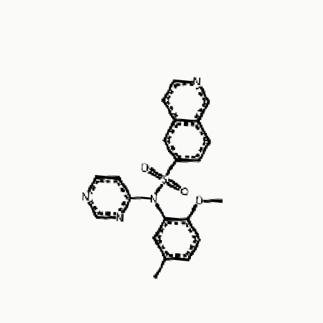 COc1ccc(C)cc1N(c1ccncn1)S(=O)(=O)c1ccc2cnccc2c1